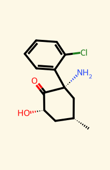 C[C@@H]1C[C@H](O)C(=O)[C@@](N)(c2ccccc2Cl)C1